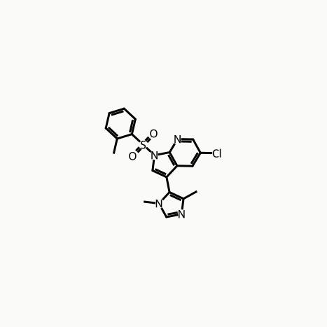 Cc1ccccc1S(=O)(=O)n1cc(-c2c(C)ncn2C)c2cc(Cl)cnc21